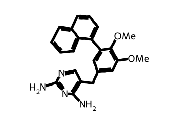 COc1cc(Cc2cnc(N)nc2N)cc(-c2cccc3ccccc23)c1OC